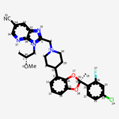 CO[C@H](C)Cn1c(CN2CCC(c3cccc4c3O[C@@](C)(c3ccc(Cl)cc3F)O4)CC2)nc2cc(C#N)cnc21